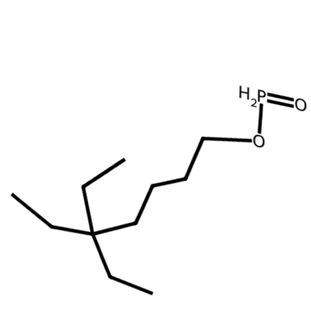 CCC(CC)(CC)CCCCO[PH2]=O